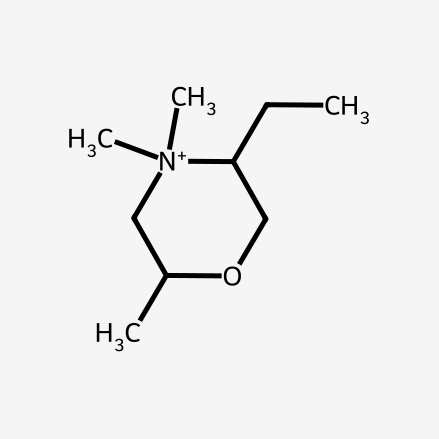 CCC1COC(C)C[N+]1(C)C